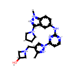 Cc1nn(-c2ccnc(Nc3ccc4c(c3)c(N3CCCC3)nn4C)n2)cc1CN1CC(O)C1